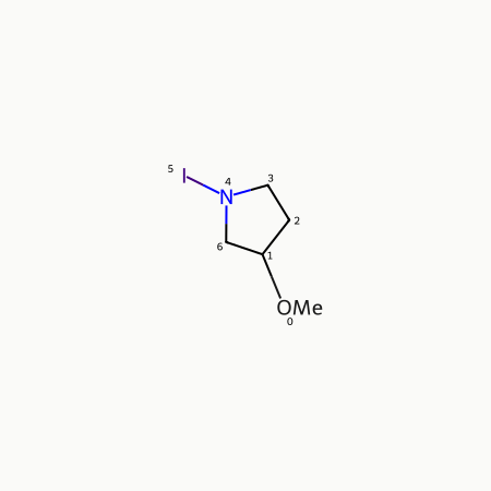 COC1CCN(I)C1